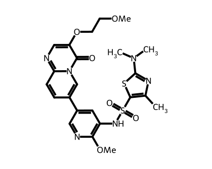 COCCOc1cnc2ccc(-c3cnc(OC)c(NS(=O)(=O)c4sc(N(C)C)nc4C)c3)cn2c1=O